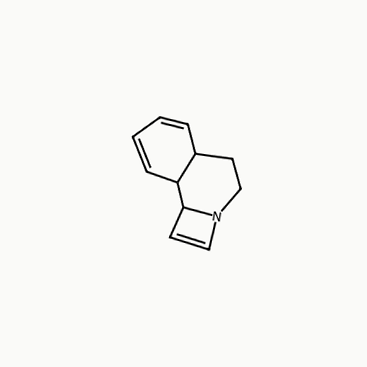 C1=CC2CCN3C=CC3C2C=C1